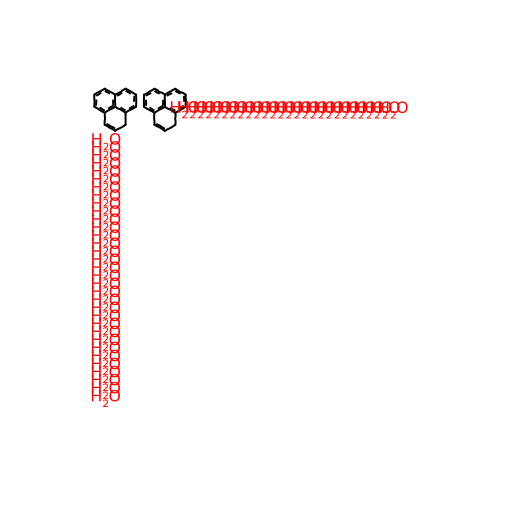 C1=Cc2cccc3cccc(c23)C1.C1=Cc2cccc3cccc(c23)C1.O.O.O.O.O.O.O.O.O.O.O.O.O.O.O.O.O.O.O.O.O.O.O.O.O.O.O.O.O.O.O.O.O.O.O.O.O.O.O.O.O.O.O.O.O.O.O.O.O.O.O.O.O.O.O.O.O.O.O.O